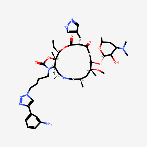 CC[C@H]1OC(=O)[C@H](Cc2cn[nH]c2)C(=O)C[C@@H](O[C@@H]2OC(C)CC(N(C)C)C2O)[C@](C)(OC)C[C@@H](C)CN[C@H](C)[C@H]2N(CCCCn3cc(-c4cccc(N)c4)nn3)C(=O)O[C@]12C